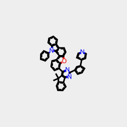 CC1(C)c2ccccc2-c2nc(-c3cccc(-c4ccncc4)c3)nc(-c3cccc4c3oc3ccc5c6ccccc6n(-c6ccccc6)c5c34)c21